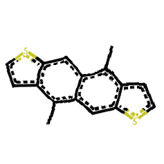 Cc1c2ccsc2cc2c(C)c3ccsc3cc12